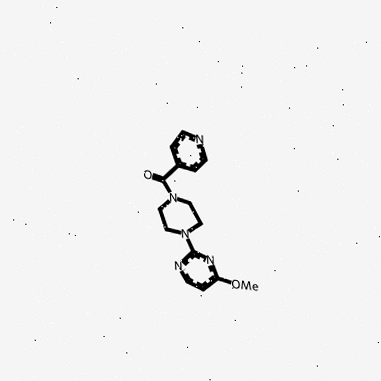 COc1ccnc(N2CCN(C(=O)c3ccncc3)CC2)n1